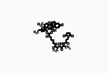 CCC(=O)O[C@]1(C(=O)COC(=O)NCCSCNC(=O)[C@H](C)NC(=O)[C@H](C)NC(=O)CCN2C(=O)C=CC2=O)[C@H](C)C[C@H]2[C@@H]3CCC4=CC(=O)C=C[C@]4(C)[C@@]3(Cl)[C@@H](O)C[C@@]21C